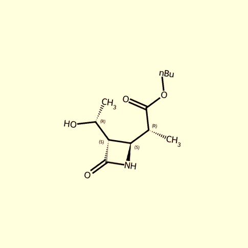 CCCCOC(=O)[C@H](C)[C@H]1NC(=O)[C@@H]1[C@@H](C)O